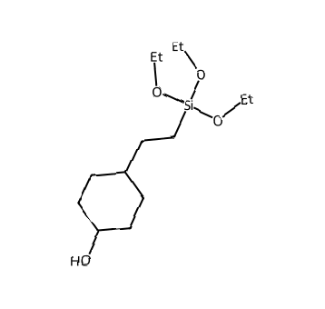 CCO[Si](CCC1CCC(O)CC1)(OCC)OCC